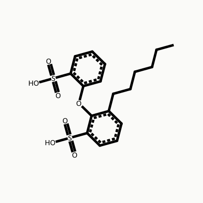 CCCCCCc1cccc(S(=O)(=O)O)c1Oc1ccccc1S(=O)(=O)O